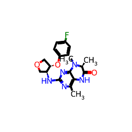 Cc1nc(N[C@H]2COC[C@@H]2Oc2ccc(F)cc2)nc2c1NC(=O)[C@H](C)N2C